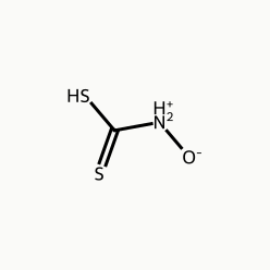 [O-][NH2+]C(=S)S